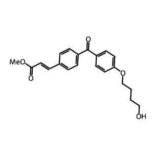 COC(=O)/C=C/c1ccc(C(=O)c2ccc(OCCCCO)cc2)cc1